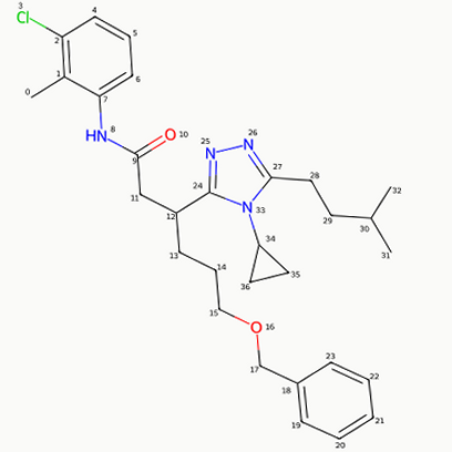 Cc1c(Cl)cccc1NC(=O)CC(CCCOCc1ccccc1)c1nnc(CCC(C)C)n1C1CC1